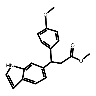 COC(=O)CC(c1ccc(OC)cc1)c1ccc2cc[nH]c2c1